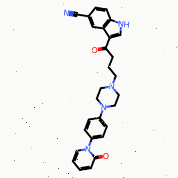 N#Cc1ccc2[nH]cc(C(=O)CCCN3CCN(c4ccc(-n5ccccc5=O)cc4)CC3)c2c1